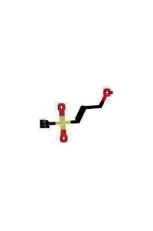 CCS(=O)(=O)C=CC[O]